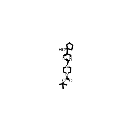 CC(C)(C)OC(=O)N1CCN(c2ncc(C3(O)CCCC3)cn2)CC1